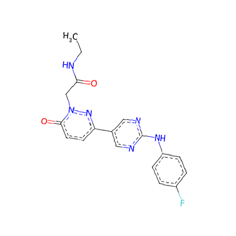 CCNC(=O)Cn1nc(-c2cnc(Nc3ccc(F)cc3)nc2)ccc1=O